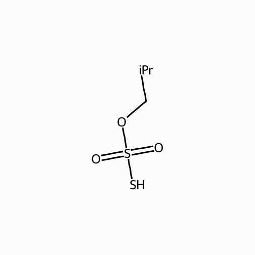 CC(C)COS(=O)(=O)S